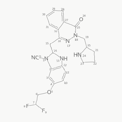 N#CN1c2cc(OCC(F)F)ccc2NC1Cc1nn(CC2CCCN2)c(=O)c2ccccc12